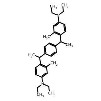 CCN(CC)c1ccc(C(C)c2ccc(C(C)c3ccc(N(CC)CC)cc3C)cc2)c(C)c1